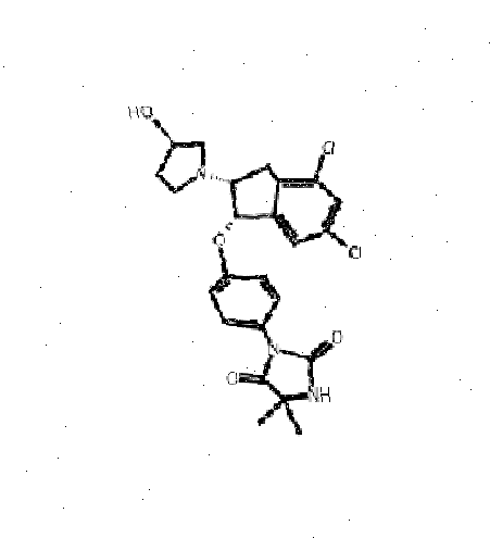 CC1(C)NC(=O)N(c2ccc(O[C@H]3c4cc(Cl)cc(Cl)c4C[C@H]3N3CC[C@@H](O)C3)cc2)C1=O